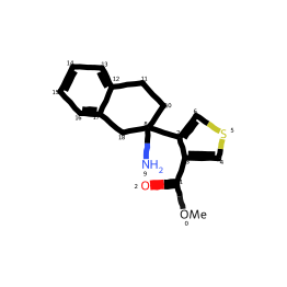 COC(=O)c1cscc1C1(N)CCc2ccccc2C1